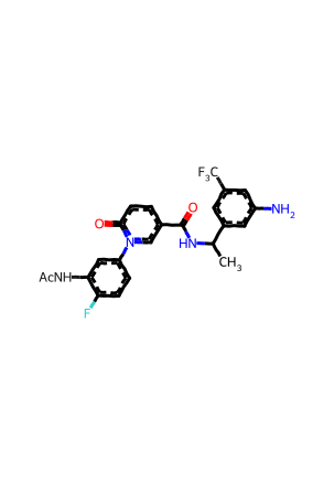 CC(=O)Nc1cc(-n2cc(C(=O)NC(C)c3cc(N)cc(C(F)(F)F)c3)ccc2=O)ccc1F